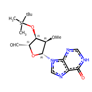 CO[C@@H]1[C@H](O[Si](C)(C)C(C)(C)C)[C@@H](C=O)O[C@H]1n1cnc2c(=O)[nH]cnc21